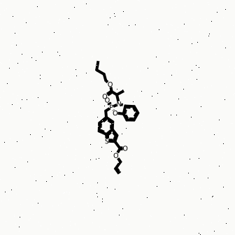 C=CCOC(=O)c1cc2cc(CP(=O)(Oc3ccccc3)N(C)C(C)C(=O)OCCCC)ccc2s1